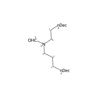 CCCCCCCCCCCCCN(C=O)CCCCCCCCCCCC